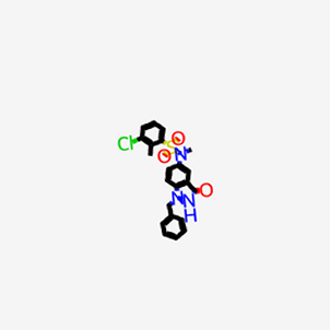 Cc1c(Cl)cccc1S(=O)(=O)N(C)c1ccc2c(c1)c(=O)[nH]n2Cc1ccccc1